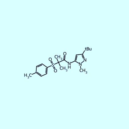 Cc1ccc(S(=O)(=O)C(C)(C)C(=O)Nc2cc(C(C)(C)C)nn2C)cc1